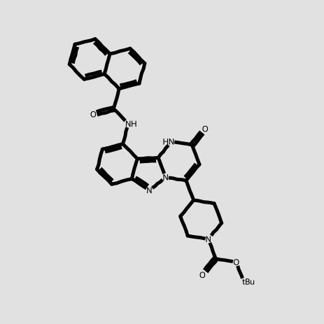 CC(C)(C)OC(=O)N1CCC(c2cc(=O)[nH]c3c4c(NC(=O)c5cccc6ccccc56)cccc4nn23)CC1